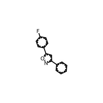 Fc1ccc(-c2cc(-c3ccccc3)no2)cc1